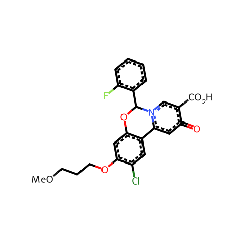 COCCCOc1cc2c(cc1Cl)-c1cc(=O)c(C(=O)O)cn1C(c1ccccc1F)O2